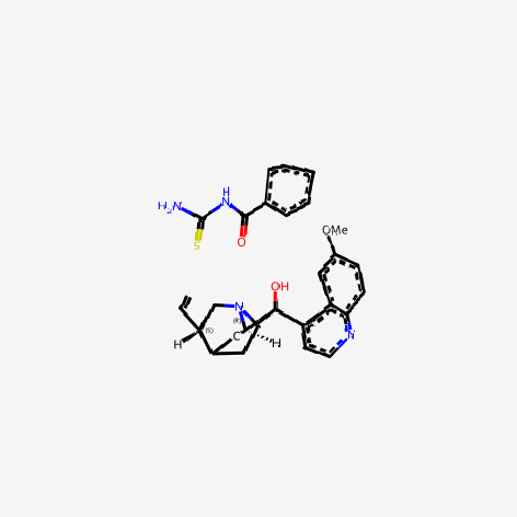 C=C[C@@H]1CN2CCC1C[C@@H]2C(O)c1ccnc2ccc(OC)cc12.NC(=S)NC(=O)c1ccccc1